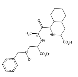 CCOC(=O)C(C[S+]([O-])Cc1ccccc1)N[C@@H](C)C(=O)C1NC(C(=O)O)CC2CCCCC21